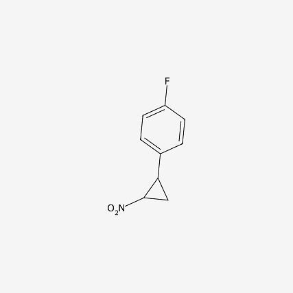 O=[N+]([O-])C1CC1c1ccc(F)cc1